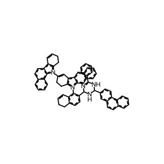 C1=Cc2c(ccc(C3N=C(c4ccccc4)NC(c4ccc5c(ccc6ccccc65)c4)N3)c2-n2c3c(c4cc5ccccc5cc42)C=C(n2c4c(c5ccc6ccccc6c52)C=CCC4)CC3)CC1